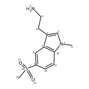 Cn1cc(CCN)c2cc(S(C)(=O)=O)ccc21